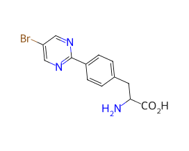 NC(Cc1ccc(-c2ncc(Br)cn2)cc1)C(=O)O